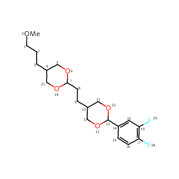 COCCCC1COC(CCC2COC(c3ccc(F)c(F)c3)OC2)OC1